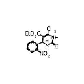 CCOC(=O)C1=C(C)NC(=O)NC1c1ccccc1[N+](=O)[O-]